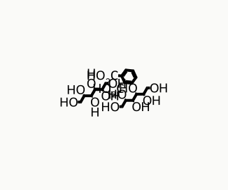 O=C(O)c1ccccc1C(=O)O.OC[C@@H](O)[C@@H](O)[C@H](O)[C@H](O)CO.OC[C@@H](O)[C@@H](O)[C@H](O)[C@H](O)CO